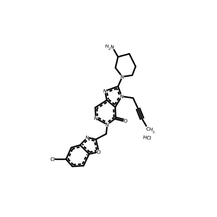 CC#CCn1c(N2CCCC(N)C2)nc2cnn(Cc3nc4cc(Cl)ccc4o3)c(=O)c21.Cl